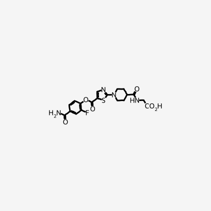 NC(=O)c1ccc(OC(=O)c2cnc(N3CCC(C(=O)NCC(=O)O)CC3)s2)c(F)c1